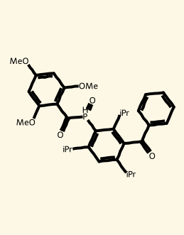 COc1cc(OC)c(C(=O)[PH](=O)c2c(C(C)C)cc(C(C)C)c(C(=O)c3ccccc3)c2C(C)C)c(OC)c1